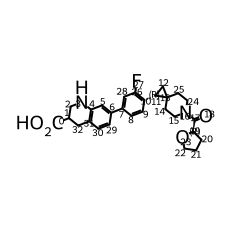 O=C(O)C1CNc2cc(-c3ccc([C@@H]4CC45CCN(C(=O)[C@H]4CCCO4)CC5)c(F)c3)ccc2C1